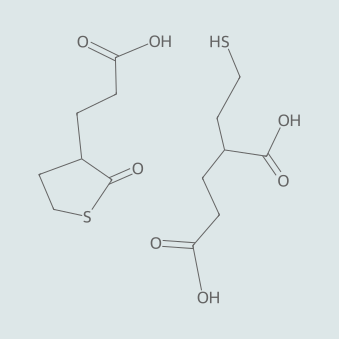 O=C(O)CCC(CCS)C(=O)O.O=C(O)CCC1CCSC1=O